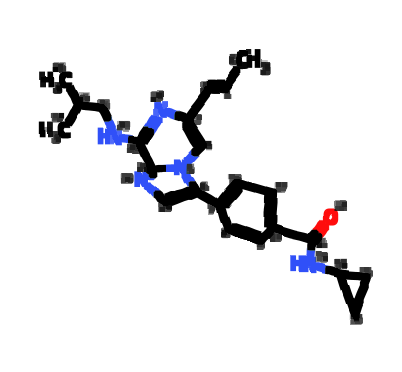 CC=Cc1cn2c(-c3ccc(C(=O)NC4CC4)cc3)cnc2c(NCC(C)C)n1